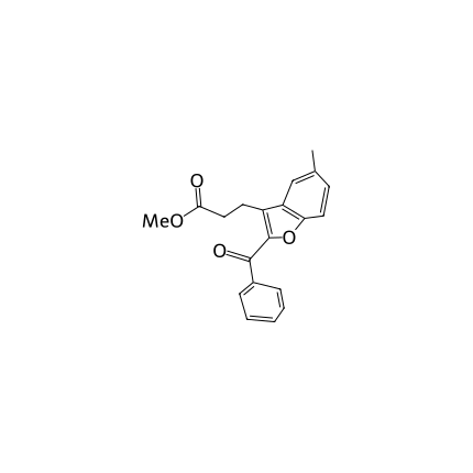 COC(=O)CCc1c(C(=O)c2ccccc2)oc2ccc(C)cc12